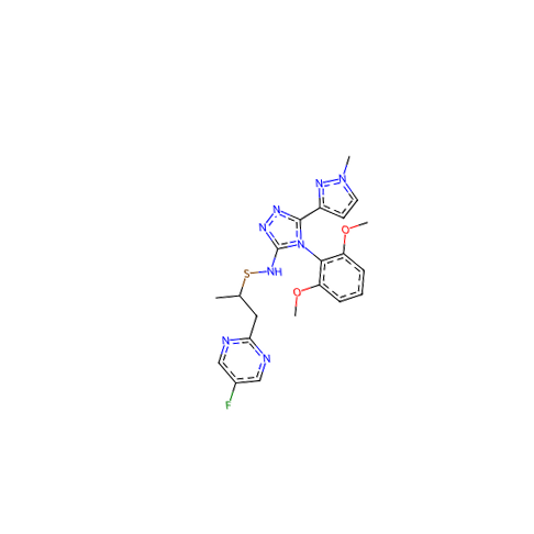 COc1cccc(OC)c1-n1c(NSC(C)Cc2ncc(F)cn2)nnc1-c1ccn(C)n1